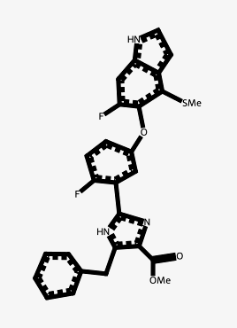 COC(=O)c1nc(-c2cc(Oc3c(F)cc4[nH]ccc4c3SC)ccc2F)[nH]c1Cc1ccccc1